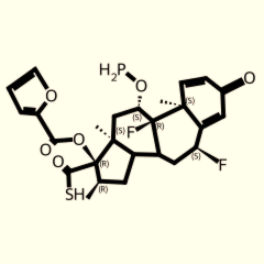 C[C@@H]1CC2C3C[C@H](F)C4=CC(=O)C=C[C@]4(C)[C@@]3(F)[C@@H](OP)C[C@]2(C)[C@@]1(OC(=O)c1ccco1)C(=O)S